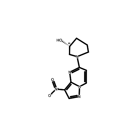 O=[N+]([O-])c1cnn2ccc(N3CCC[C@@H](O)C3)nc12